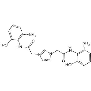 Nc1cccc(O)c1NC(=O)Cn1cc[n+](CC(=O)Nc2c(N)cccc2O)c1